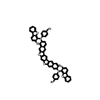 CC(C)c1ccc(N(c2ccc3cc4c(cc3c2)oc2cc3oc5cc6cc(N(c7ccc(C(C)C)cc7)c7c(C(C)(C)C)ccc8c7oc7ccccc78)ccc6cc5c3cc24)c2c(C(C)(C)C)ccc3c2oc2ccccc23)cc1